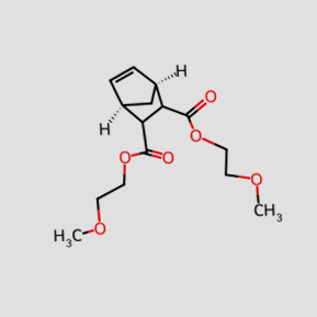 COCCOC(=O)C1C(C(=O)OCCOC)[C@H]2C=C[C@@H]1C2